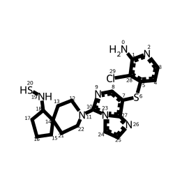 Nc1nccc(Sc2cnc(N3CCC4(CCCC4NS)CC3)n3ccnc23)c1Cl